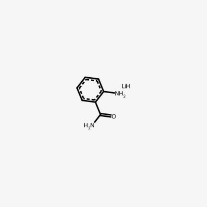 NC(=O)c1ccccc1N.[LiH]